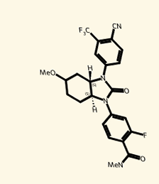 CNC(=O)c1ccc(N2C(=O)N(c3ccc(C#N)c(C(F)(F)F)c3)[C@H]3CC(OC)CC[C@@H]32)cc1F